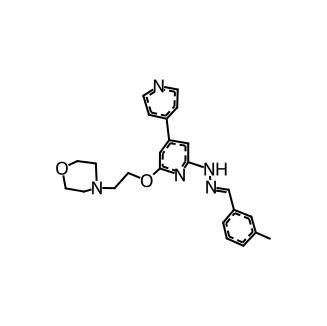 Cc1cccc(/C=N/Nc2cc(-c3ccncc3)cc(OCCN3CCOCC3)n2)c1